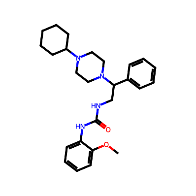 COc1ccccc1NC(=O)NCC(c1ccccc1)N1CCN(C2CCCCC2)CC1